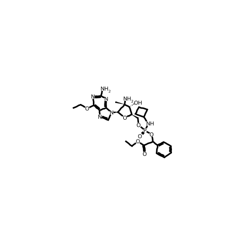 CCOC(=O)C(OP(=O)(NC1CCC1)OC[C@H]1O[C@@H](n2cnc3c(OCC)nc(N)nc32)[C@](C)(N)[C@@H]1O)c1ccccc1